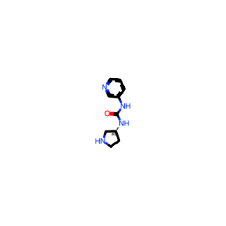 O=C(Nc1cccnc1)N[C@@H]1CCNC1